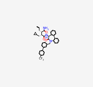 C=CC[C@H](C(N)=O)[C@@H](CC1CC1)C(=O)NC1C(=O)N(Cc2cccc(-c3ccc(C(F)(F)F)cc3)c2)c2ccccc2-c2ccccc21